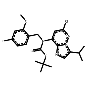 COc1cc(F)ccc1CN(C(=O)OC(C)(C)C)c1cc(Cl)nn2c(C(C)C)cnc12